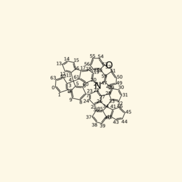 c1ccc(C2(c3ccccc3)c3ccccc3-c3ccc(N(c4cccc5c4-c4ccccc4C5(c4ccccc4)c4ccccc4)c4cccc5oc6ccccc6c45)cc32)cc1